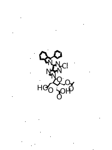 CC(=O)OC[C@@H]1O[C@@H](n2cnc3c(-n4cc5ccccc5c4-c4ccccc4)nc(Cl)nc32)[C@H](CC(=O)O)[C@H]1CC(=O)O